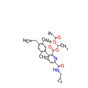 C#CCc1cc(C=O)c(-c2ccc(C(=O)NCC3CC3)nc2C(=O)OC(C)OC(=O)C(C)C)cc1OC